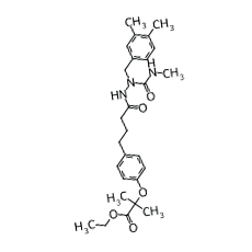 CCOC(=O)C(C)(C)Oc1ccc(CCCC(=O)NN(Cc2ccc(C)c(C)c2)C(=O)NC)cc1